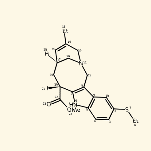 CCSc1ccc2[nH]c3c(c2c1)CN1CC(CC)=C[C@@H](C1)C[C@@]3(I)C(=O)OC